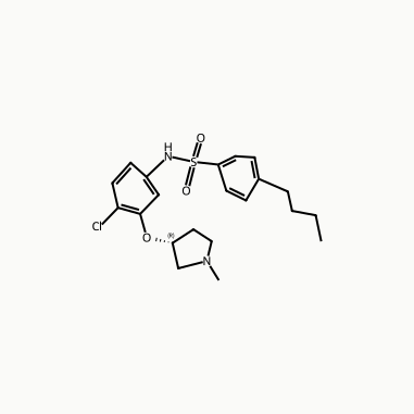 CCCCc1ccc(S(=O)(=O)Nc2ccc(Cl)c(O[C@@H]3CCN(C)C3)c2)cc1